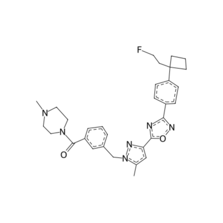 Cc1cc(-c2nc(-c3ccc(C4(CCF)CCC4)cc3)no2)nn1Cc1cccc(C(=O)N2CCN(C)CC2)c1